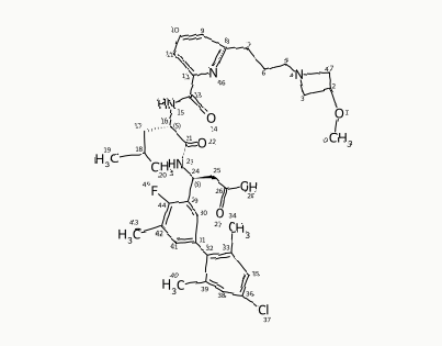 COC1CN(CCCc2cccc(C(=O)N[C@@H](CC(C)C)C(=O)N[C@@H](CC(=O)O)c3cc(-c4c(C)cc(Cl)cc4C)cc(C)c3F)n2)C1